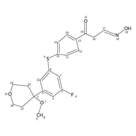 COC1(c2cc(F)cc(Sc3ccc(C(=O)CC=NO)cc3)c2)CCOCC1